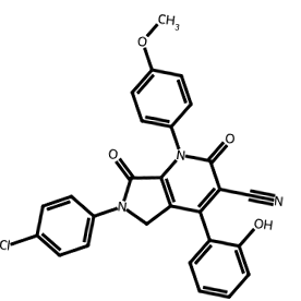 COc1ccc(-n2c3c(c(-c4ccccc4O)c(C#N)c2=O)CN(c2ccc(Cl)cc2)C3=O)cc1